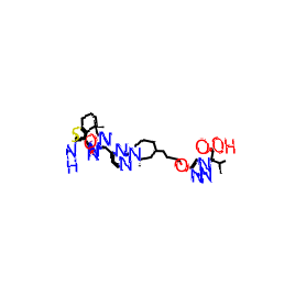 CNc1sc2c(c1C#N)[C@@](C)(c1nc(-c3ccnc(N4CCCC(CCCOc5cn(C(C(=O)O)C(C)C)nn5)C[C@@H]4C)n3)no1)CCC2